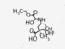 CCOC(=O)C(O)N[C@H](CC)C[C@@](C)(CO)C(=O)O